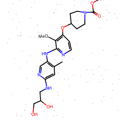 COc1c(OC2CCN(C(=O)OC(C)C)CC2)ccnc1Nc1cnc(NCC(O)CO)cc1C